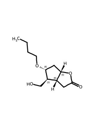 CCCCO[C@@H]1C[C@@H]2OC(=O)C[C@@H]2[C@H]1CO